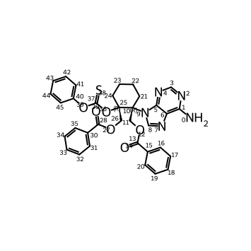 Nc1ncnc2c1ncn2[C@@]1(COC(=O)c2ccccc2)CCCC[C@@]1(COC(=O)c1ccccc1)OC(=S)Oc1ccccc1